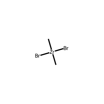 [CH3][Zr]([CH3])([Br])[Br]